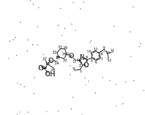 CCc1oc(-c2ccc(CC(C)C)cc2)nc1CO[C@H]1CCC[C@@H](COC(C)(C)C(=O)O)C1